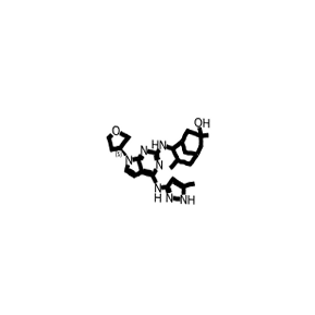 Cc1cc(Nc2nc(NC3C(C)CC4CC3CC(C)(O)C4)nc3c2ccn3[C@H]2CCOC2)n[nH]1